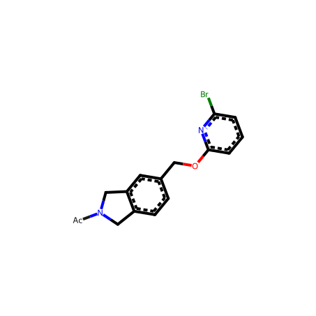 CC(=O)N1Cc2ccc(COc3cccc(Br)n3)cc2C1